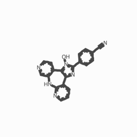 N#Cc1ccc(-c2nc3c(n2O)-c2ccncc2Nc2ncccc2-3)cc1